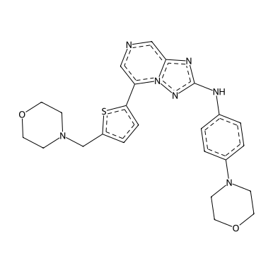 c1cc(N2CCOCC2)ccc1Nc1nc2cncc(-c3ccc(CN4CCOCC4)s3)n2n1